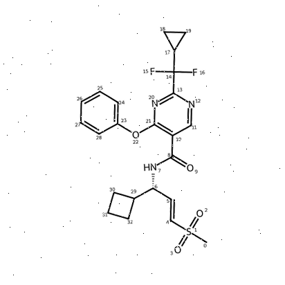 CS(=O)(=O)/C=C/[C@@H](NC(=O)c1cnc(C(F)(F)C2CC2)nc1Oc1ccccc1)C1CCC1